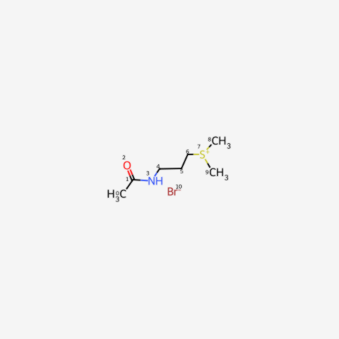 CC(=O)NCCC[S+](C)C.[Br-]